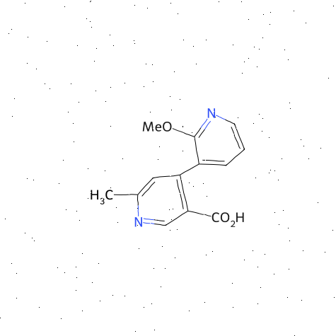 COc1ncccc1-c1cc(C)ncc1C(=O)O